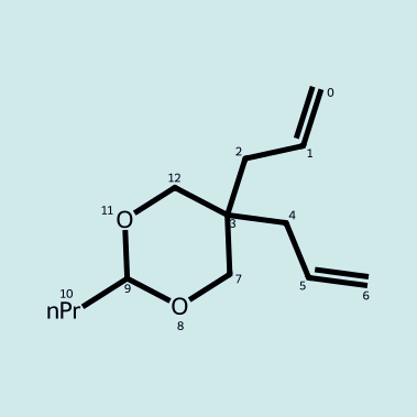 C=CCC1(CC=C)COC(CCC)OC1